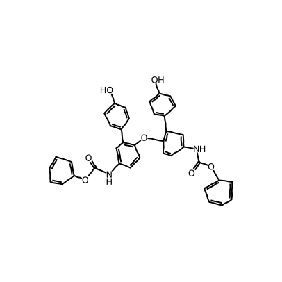 O=C(Nc1ccc(Oc2ccc(NC(=O)Oc3ccccc3)cc2-c2ccc(O)cc2)c(-c2ccc(O)cc2)c1)Oc1ccccc1